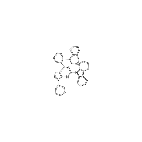 c1ccc(-n2ccc3c(-c4ccccc4-c4cccc5ccccc45)nc(-n4c5ccccc5c5ccccc54)nc32)cc1